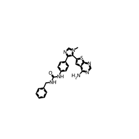 Cn1cnc(-c2ccc(NC(=O)NCc3ccccc3)cc2)c1-c1cc2c(N)ncnc2s1